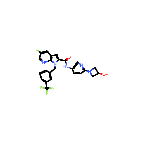 O=C(Nc1ccc(N2CC(O)C2)nc1)c1cc2cc(F)cnc2n1Cc1cccc(C(F)(F)F)c1